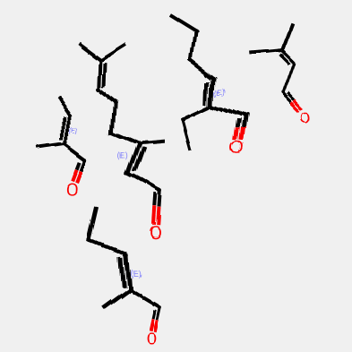 C/C=C(\C)C=O.CC(C)=CC=O.CC(C)=CCC/C(C)=C/C=O.CC/C=C(\C)C=O.CCC/C=C(/C=O)CC